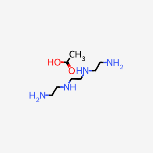 CC(=O)O.NCCNCCNCCN